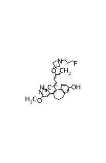 C=C/C(=C\C=C(/C)C1=C(c2ccnc(OC)c2)CCCc2cc(O)ccc21)O[C@H]1CCN(CCCF)C1